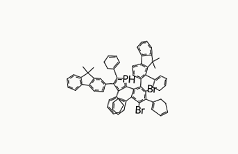 CC1(C)c2ccccc2-c2ccc(-c3c(C4=CC=CCC4)[pH]c(-c4c(C5=CC=CCC5)c(Br)c(C5=CC=CCC5)c(Br)c4-c4ccc5c(c4C4=CC=CCC4)C(C)(C)c4ccccc4-5)c3C3=CC=CCC3)cc21